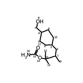 CC(CC1CCC(CO)CC1)C(C)(C)OC(N)=O